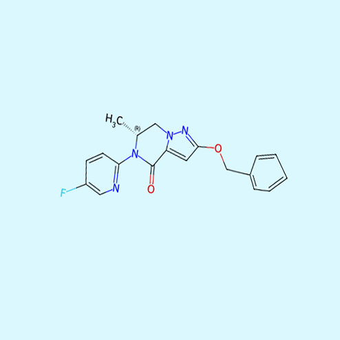 C[C@@H]1Cn2nc(OCc3ccccc3)cc2C(=O)N1c1ccc(F)cn1